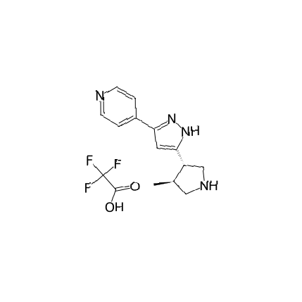 C[C@@H]1CNC[C@H]1c1cc(-c2ccncc2)n[nH]1.O=C(O)C(F)(F)F